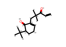 C=CC(=O)C(C)(C)CC1=CCCC(C(C)(C)C)C1=O